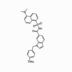 COc1ccc(Cn2ccc3ccc(C(=O)NS(=O)(=O)c4cccc5c(N(C)C)cccc45)cc32)cc1